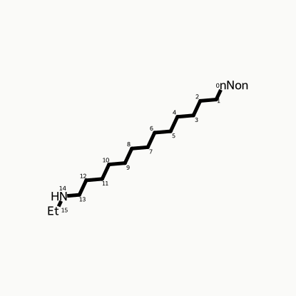 CCCCCCCCCCCCCCCCCCCCCCNCC